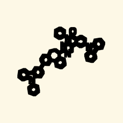 O=c1c2ccc(-n3c4ccccc4c4ccccc43)cc2c2cnc(C3CCc4ccc(-c5ccc6c(c5)c5ccccc5n6-c5ccccc5)cc4-c4ccccc43)nc2n1-c1ccccc1